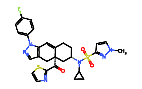 Cn1ccc(S(=O)(=O)N(C2CC2)[C@H]2CCC3=Cc4c(cnn4-c4ccc(F)cc4)C[C@]3(C(=O)c3nccs3)C2)n1